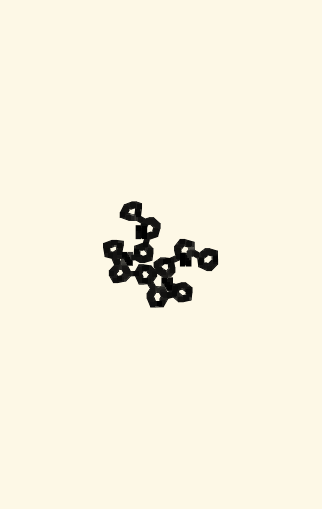 c1ccc(-c2cccc(-c3cccc(-n4c5ccccc5c5cccc(-c6cccc(-c7cccc8c9ccccc9n(-c9cccc(-c%10cccc(-c%11ccccc%11)n%10)c9)c78)c6)c54)c3)n2)cc1